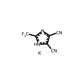 N#Cc1nc(C(F)(F)F)[nH]c1C#N.[K]